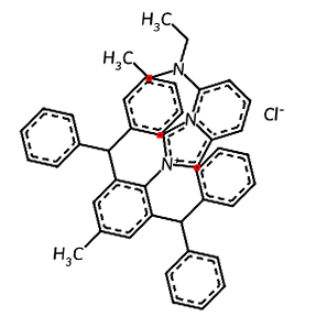 CCN(CC)c1cccc2c[n+](-c3c(C(c4ccccc4)c4ccccc4)cc(C)cc3C(c3ccccc3)c3ccccc3)cn12.[Cl-]